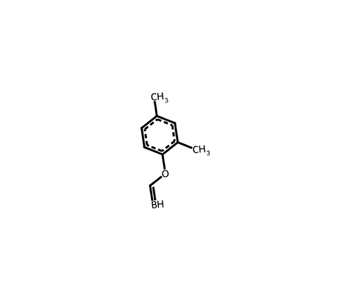 B=COc1ccc(C)cc1C